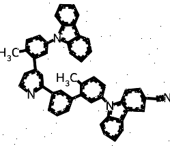 Cc1ccc(-n2c3ccccc3c3ccccc32)cc1-c1ccnc(-c2cccc(-c3cc(-n4c5ccccc5c5cc(C#N)ccc54)ccc3C)c2)c1